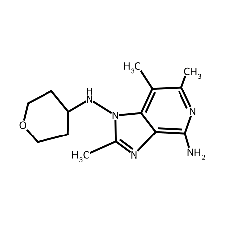 Cc1nc(N)c2nc(C)n(NC3CCOCC3)c2c1C